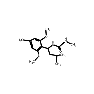 CNC(=O)NC(CC(C)C)c1c(OC)cc(C)cc1OC